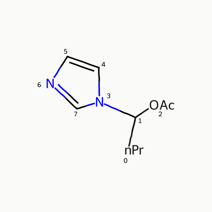 CCCC(OC(C)=O)n1ccnc1